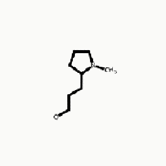 CN1CCCC1CCC[O]